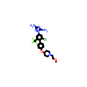 COCCN1CCC(Oc2ccc(-c3c(Cl)cc(-n4nc(N)nc4N)cc3C(F)(F)F)cc2)CC1